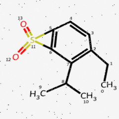 CCc1ccc2c(c1C(C)C)S2(=O)=O